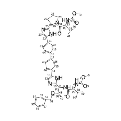 COC(=O)N[C@H](C(=O)N[C@H](c1ncc(-c2ccc(-c3ccc(-c4cnc([C@@H]5CCCN5C(=O)[C@@H](NC(=O)OC)C(C)C)[nH]4)cc3)cc2)[nH]1)[C@@H](C)OCc1ccccc1)C(C)C